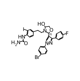 NC(=O)Nc1ccc(CCN2C(O)CO[C@H]2c2cn(-c3ccc(Br)cc3)nc2-c2ccc(F)cc2)cc1I